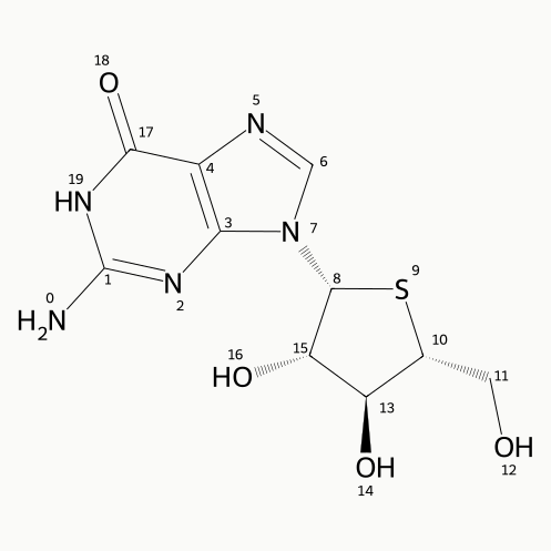 Nc1nc2c(ncn2[C@@H]2S[C@H](CO)[C@@H](O)[C@@H]2O)c(=O)[nH]1